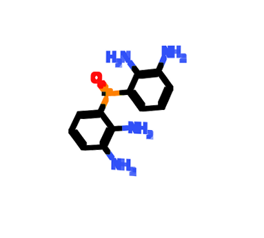 Nc1cccc([P](=O)c2cccc(N)c2N)c1N